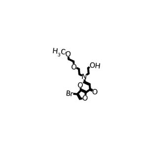 COCCOCCN(CCO)c1cc(=O)c2occ(Br)c2o1